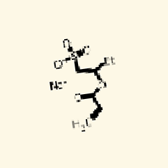 C=CC(=O)OC(CC)CS(=O)(=O)[O-].[Na+]